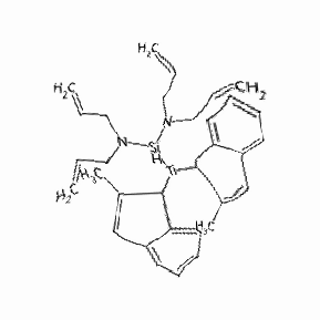 C=CCN(CC=C)[SiH](N(CC=C)CC=C)[Ti]([CH]1C(C)=Cc2ccccc21)[CH]1C(C)=Cc2ccccc21